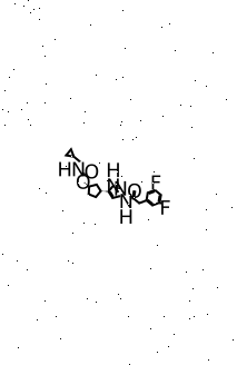 O=C(Cc1cc(F)cc(F)c1)Nc1cc([C@@H]2CC[C@H](OC(=O)NCC3CC3)C2)[nH]n1